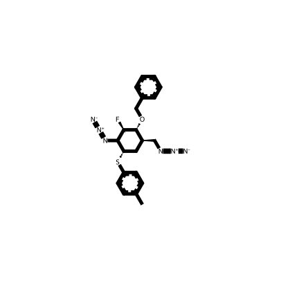 Cc1ccc(S[C@H]2C[C@H](CN=[N+]=[N-])[C@@H](OCc3ccccc3)[C@H](F)C2N=[N+]=[N-])cc1